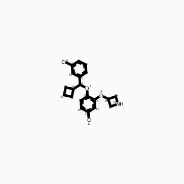 Clc1cccc(C(Oc2ccc(Cl)cc2OC2CNC2)C2CCC2)c1